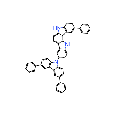 c1ccc(-c2ccc3[nH]c4ccc5c6cc(-n7c8ccc(-c9ccccc9)cc8c8cc(-c9ccccc9)ccc87)ccc6[nH]c5c4c3c2)cc1